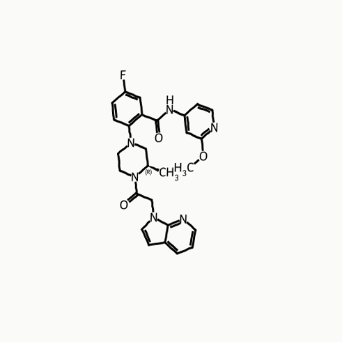 COc1cc(NC(=O)c2cc(F)ccc2N2CCN(C(=O)Cn3ccc4cccnc43)[C@H](C)C2)ccn1